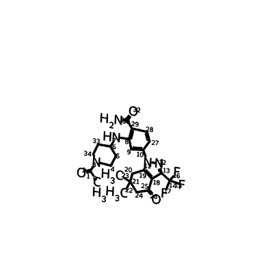 CC(=O)N1CCC(Nc2cc(-n3nc(C(F)(F)F)c4c3CC(C)(C)CC4=O)ccc2C(N)=O)CC1